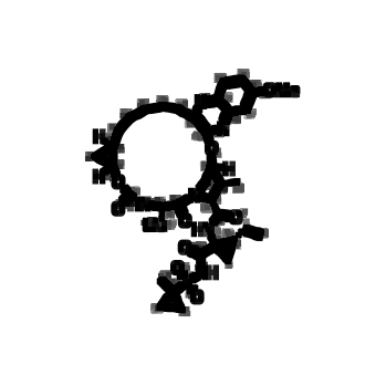 C=C[C@@H]1C[C@]1(NC(=O)[C@@H]1[C@H](C)[C@@H]2CN1C(=O)[C@H](C(C)(C)C)NC(=O)O[C@@H]1C[C@H]1CCCCCc1nc3ccc(OC)cc3nc1O2)C(=O)NS(=O)(=O)C1(C)CC1